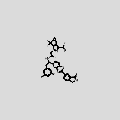 O=C(Cn1nc(C(F)F)c2c1C(F)(F)C1CC21)NC(Cc1cc(F)cc(F)c1)c1ccc2sc(-c3ccc4c(c3)C(=O)NC4)nc2n1